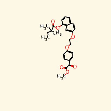 CCC(C)(C)C(=O)Oc1cccc2ccc(OCCOc3ccc(C(=O)C(=O)OC)cc3)cc12